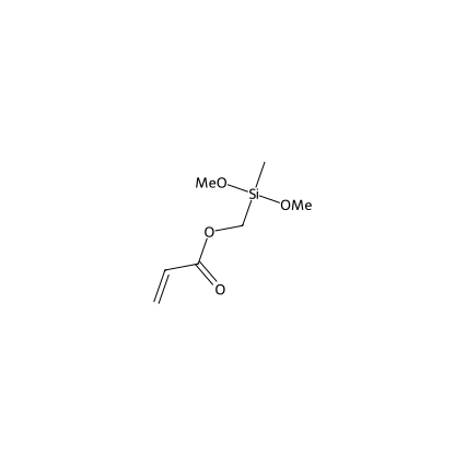 C=CC(=O)OC[Si](C)(OC)OC